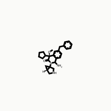 CO[C@]1(C2CCCC2)C(=O)N(C23CNC[C@@H]2C3)C(N)c2ccc(Cc3ccccc3)cc21